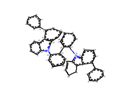 C1=Cc2c(c3c(-c4ccccc4)cccc3n2-c2ccccc2-c2ccccc2-n2c3ccccc3c3c(-c4ccccc4)cccc32)CC1